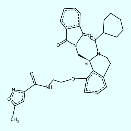 Cc1cc(C(=O)NCCOc2cccc3c2[C@@H](CN2C(=O)c4ccccc4C2=O)N(C(=O)C2CCCCC2)CC3)no1